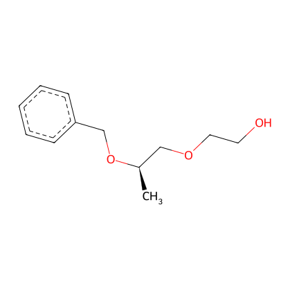 C[C@H](COCCO)OCc1ccccc1